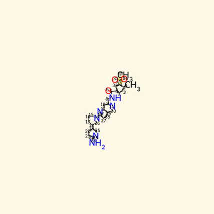 Cc1ccc(C(=O)NCc2cc3nc(N4CCCC(c5ccc(N)nc5)C4)ccc3cn2)cc1S(C)(=O)=O